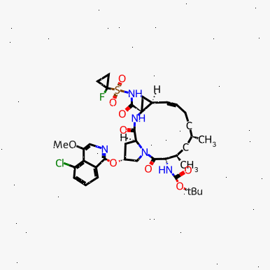 COc1cnc(O[C@@H]2C[C@H]3C(=O)N[C@]4(C(=O)NS(=O)(=O)C5(F)CC5)C[C@H]4/C=C\CC[C@@H](C)C[C@@H](C)[C@H](NC(=O)OC(C)(C)C)C(=O)N3C2)c2cccc(Cl)c12